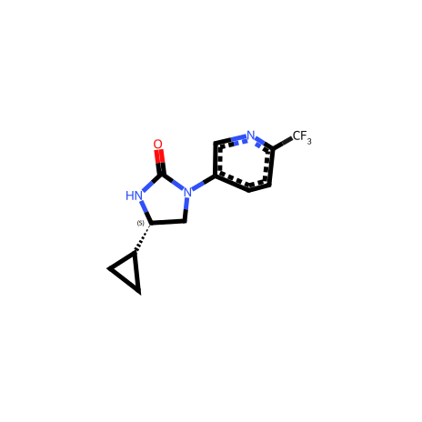 O=C1N[C@@H](C2CC2)CN1c1ccc(C(F)(F)F)nc1